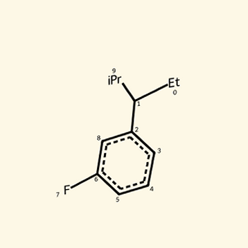 CCC(c1cccc(F)c1)C(C)C